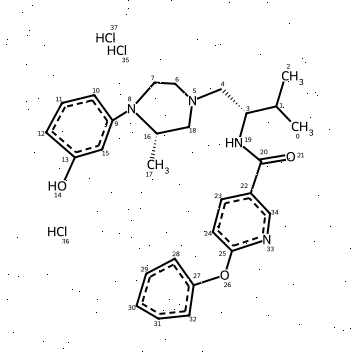 CC(C)[C@@H](CN1CCN(c2cccc(O)c2)[C@@H](C)C1)NC(=O)c1ccc(Oc2ccccc2)nc1.Cl.Cl.Cl